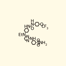 CCN(c1ccc(NC(=O)Nc2ccc(OC(F)(F)F)cc2)cc1)c1ccnc(Nc2cccc(S(N)(=O)=O)c2)n1